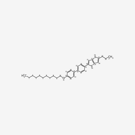 CCCCCCCCCCCOc1ccc(-c2ccc(-c3cc4sc(CCC)cc4s3)cc2)cc1